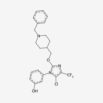 Oc1cccc(-n2c(OCC3CCN(Cc4ccccc4)CC3)nc(C(F)(F)F)c2Cl)c1